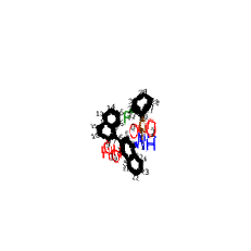 O=S(=O)(Nc1cc(-c2c(O)ccc3ccccc23)c(O)c2ccccc12)c1ccccc1F